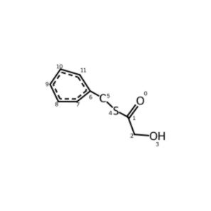 O=C(CO)SCc1ccccc1